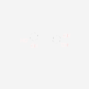 Oc1ccc(CSCc2ccc(O)c(O)c2)cc1O